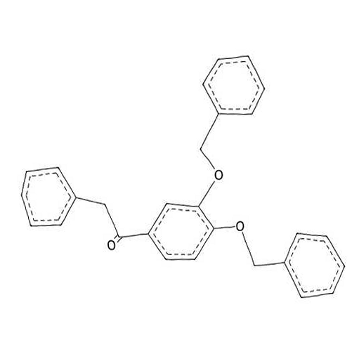 O=C(Cc1ccccc1)c1ccc(OCc2ccccc2)c(OCc2ccccc2)c1